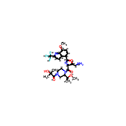 C=C(OC)C1CN(C(=O)C(C)(C)O)CCN1C(=O)c1nc(-c2ccc(OC)c3nc(C(F)(F)F)ccc23)oc1CN